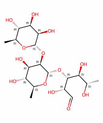 C[C@H](O)[C@H](O)[C@@H](O[C@@H]1O[C@@H](C)[C@H](O)[C@@H](O)[C@H]1O[C@@H]1O[C@@H](C)[C@H](O)[C@@H](O)[C@H]1O)[C@@H](O)C=O